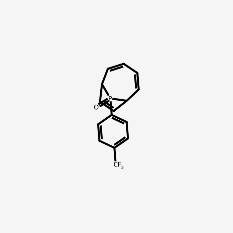 O=P1(c2ccc(C(F)(F)F)cc2)C2C=CC=CC1C=C2